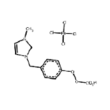 CN1C=CN(Cc2ccc(OOC(=O)O)cc2)C1.[Cl][Fe]([Cl])([Cl])[Cl]